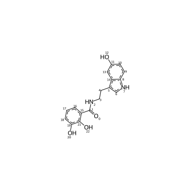 O=C(NCCc1c[nH]c2ccc(O)cc12)c1cccc(O)c1O